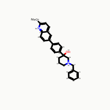 COc1ccc2cc(-c3ccc(C4(O)CCCN(Cc5ccccc5)C4)cc3)ccc2n1